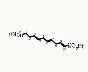 CCCCCCCCCCCC=CCC=CCC=CC(=O)OCC